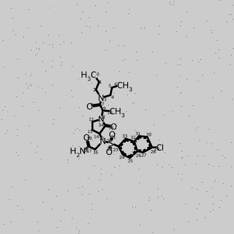 CCCN(CCC)C(=O)C(C)N1CCC(N(CC(N)=O)S(=O)(=O)c2ccc3cc(Cl)ccc3c2)C1=O